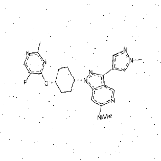 CNc1cc2c(cn1)c(-c1cnn(C)c1)nn2[C@H]1CC[C@@H](Oc2nc(C)ncc2F)CC1